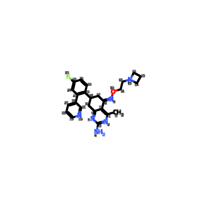 Cc1nc(N)nc2c1/C(=N/OCCN1CCC1)CC(c1ccc(F)cc1-c1cccnc1)C2